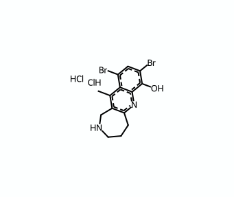 Cc1c2c(nc3c(O)c(Br)cc(Br)c13)CCCNC2.Cl.Cl